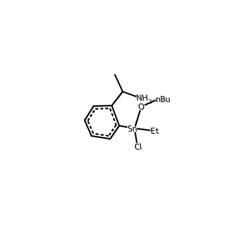 CCCC[O][Sn]([Cl])([CH2]C)[c]1ccccc1C(C)N